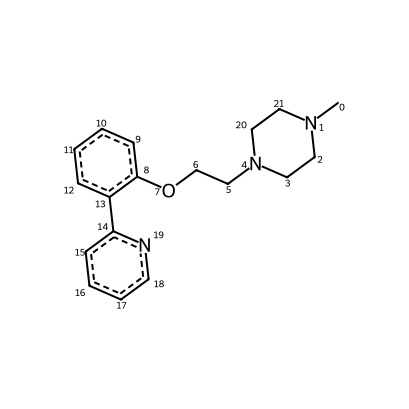 CN1CCN(CCOc2ccccc2-c2ccccn2)CC1